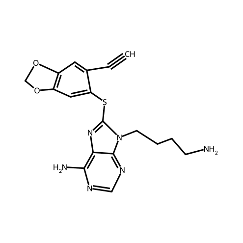 C#Cc1cc2c(cc1Sc1nc3c(N)ncnc3n1CCCCN)OCO2